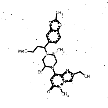 CCC1CN(C(CCOC)c2ccc3nc(C)sc3c2)[C@H](C)CN1c1cc(=O)n(C)n2cc(CC#N)nc12